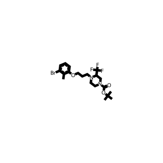 Cc1c(Br)cccc1OCCCN1CCN(C(=O)OC(C)(C)C)CC1C(F)(F)F